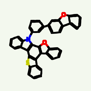 c1cc(-c2ccc3c(c2)oc2ccccc23)cc(-n2c3ccccc3c3c4sc5ccccc5c4c4c5ccccc5oc4c32)c1